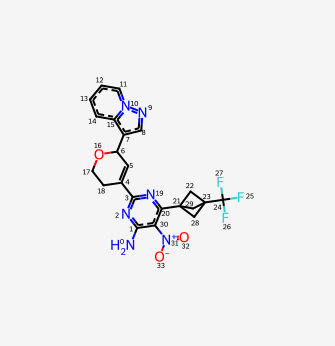 Nc1nc(C2=CC(c3cnn4ccccc34)OCC2)nc(C23CC(C(F)(F)F)(C2)C3)c1[N+](=O)[O-]